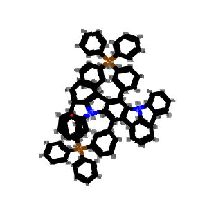 c1ccc(S(c2ccccc2)(c2ccccc2)c2cccc(-c3c4c5cccc6c7ccccc7n(c4c(-c4cccc(S(c7ccccc7)(c7ccccc7)c7ccccc7)c4)c4c7cccc8c9ccccc9n(c34)c87)c65)c2)cc1